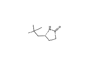 CC(C)(C)CC1CCC(=O)N1